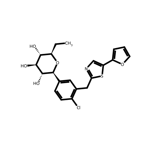 CC[C@H]1O[C@@H](c2ccc(Cl)c(Cc3ncc(-c4ccco4)s3)c2)[C@H](O)[C@@H](O)[C@@H]1O